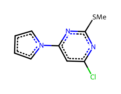 CSc1nc(Cl)cc(-n2cccc2)n1